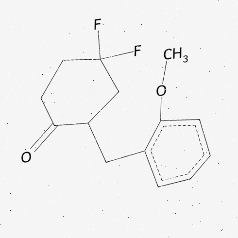 COc1ccccc1CC1CC(F)(F)CCC1=O